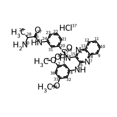 COc1cc(Nc2nc3ccccc3nc2NS(=O)(=O)c2cccc(NC(=O)C(C)N)c2)cc(OC)c1.Cl